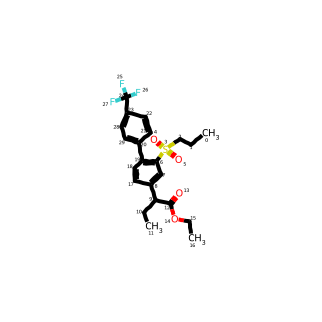 CCCS(=O)(=O)c1cc(C(CC)C(=O)OCC)ccc1-c1ccc(C(F)(F)F)cc1